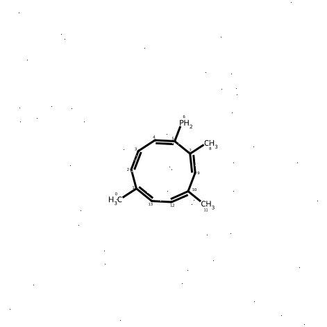 Cc1cccc(P)c(C)cc(C)cc1